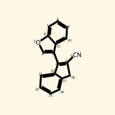 N#CC1=C(c2coc3ccccc23)c2ccccc2C1